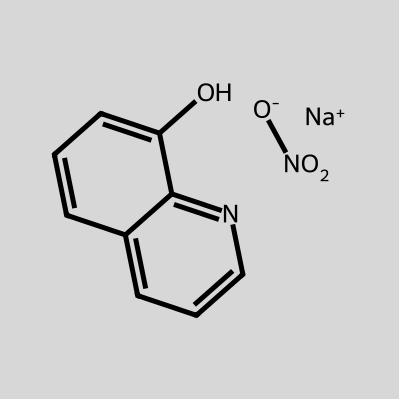 O=[N+]([O-])[O-].Oc1cccc2cccnc12.[Na+]